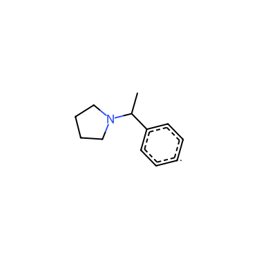 CC(c1cc[c]cc1)N1CCCC1